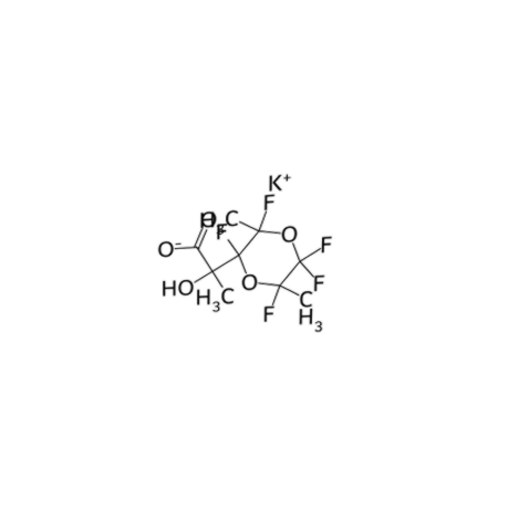 CC1(F)OC(F)(C(C)(O)C(=O)[O-])C(C)(F)OC1(F)F.[K+]